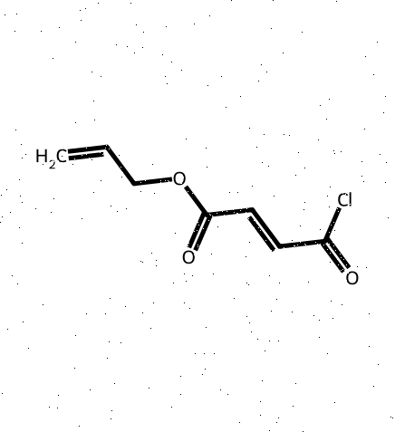 C=CCOC(=O)C=CC(=O)Cl